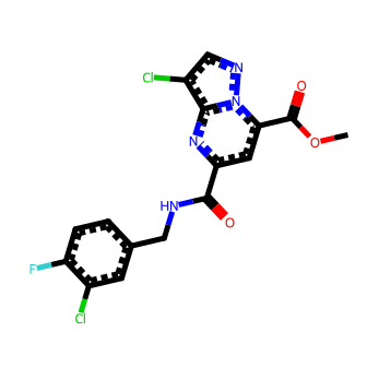 COC(=O)c1cc(C(=O)NCc2ccc(F)c(Cl)c2)nc2c(Cl)cnn12